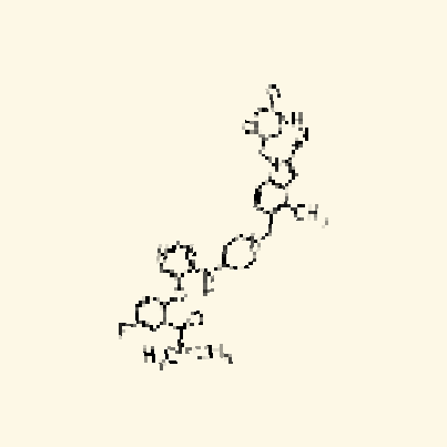 Cc1c(CN2CCC(Nc3ncncc3Oc3ccc(F)cc3C(=O)N(C)C)CC2)ccc2c1cc(C#N)n2CC1CNC(=O)CO1